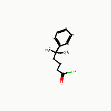 CC(C)(CCCC(=O)Cl)c1ccccc1